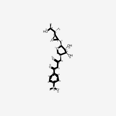 C[C@H]([C@@H]1O[C@H]1C[C@@H]1OC[C@H](CC(=O)CC(=O)c2ccc([S+](C)[O-])cc2)[C@@H](O)[C@H]1O)[C@H](C)O